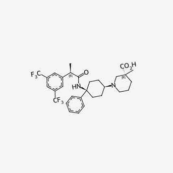 C[C@@H](C(=O)N[C@]1(c2ccccc2)CC[C@H](N2CCC[C@@](C)(C(=O)O)C2)CC1)c1cc(C(F)(F)F)cc(C(F)(F)F)c1